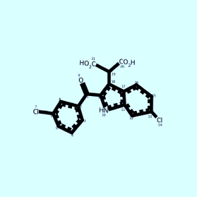 O=C(c1cccc(Cl)c1)c1[nH]c2cc(Cl)ccc2c1C(C(=O)O)C(=O)O